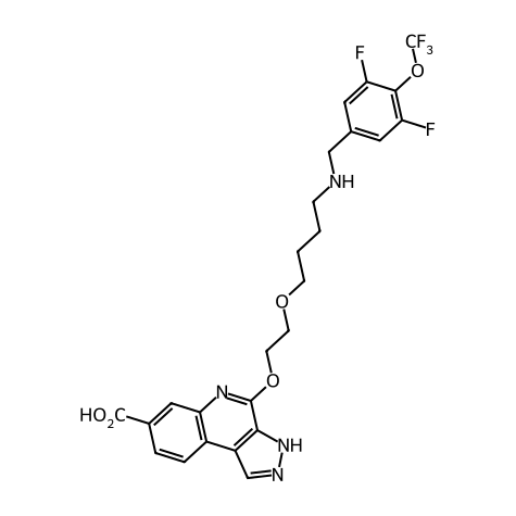 O=C(O)c1ccc2c(c1)nc(OCCOCCCCNCc1cc(F)c(OC(F)(F)F)c(F)c1)c1[nH]ncc12